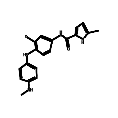 CNc1ccc(Nc2ccc(NC(=O)c3ccc(C)[nH]3)cc2F)cc1